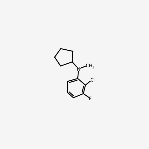 CN(c1cccc(F)c1Cl)C1CCCC1